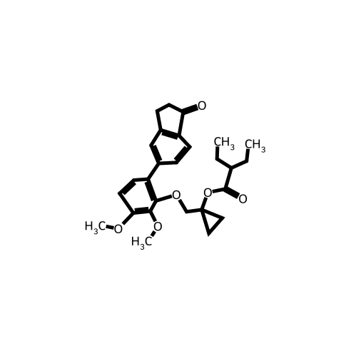 CCC(CC)C(=O)OC1(COc2c(-c3ccc4c(c3)CCC4=O)ccc(OC)c2OC)CC1